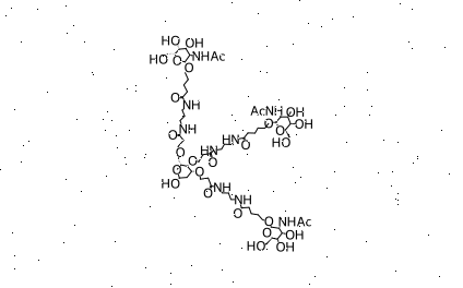 CC(=O)N[C@H]1[C@H](OCCCCC(=O)NCCCNC(=O)CCOC[C@H]2O[C@@H](O)C[C@@H](OCCC(=O)NCCCNC(=O)CCCCO[C@@H]3O[C@H](CO)[C@H](O)[C@H](O)[C@H]3NC(C)=O)[C@@H]2OCCC(=O)NCCCNC(=O)CCCCO[C@@H]2O[C@H](CO)[C@H](O)[C@H](O)[C@H]2NC(C)=O)O[C@H](CO)[C@H](O)[C@@H]1O